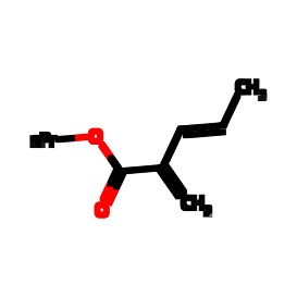 C=C(C=CC)C(=O)OCCC